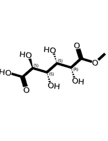 COC(=O)[C@H](O)[C@@H](O)[C@H](O)[C@H](O)C(=O)O